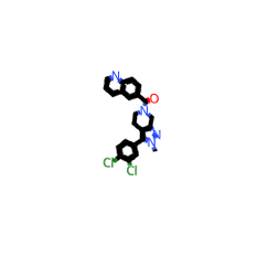 Cn1nc2c(c1-c1ccc(Cl)c(Cl)c1)CCN(C(=O)c1ccc3ncccc3c1)C2